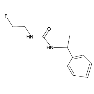 CC(NC(=O)NCCF)c1ccccc1